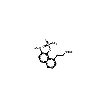 COc1ccc2cccc(CCNC(C)=O)c2c1OS(=O)(=O)C(F)(F)F